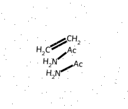 C=C.CC(N)=O.CC(N)=O